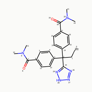 CC(C)CC(c1ccc(C(=O)N(C)C)cc1)(c1ccc(C(=O)N(C)C)cc1)c1nn[nH]n1